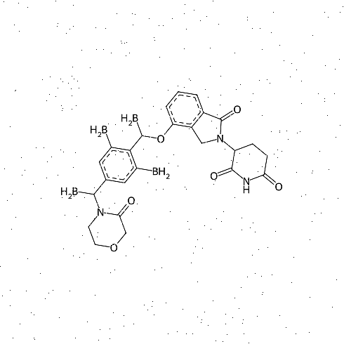 Bc1cc(C(B)N2CCOCC2=O)cc(B)c1C(B)Oc1cccc2c1CN(C1CCC(=O)NC1=O)C2=O